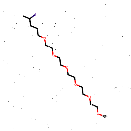 CC(I)CCCOCCOCCOCCOCCOCCOC(C)C